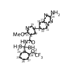 BC(B)(NC(=O)c1cc(-c2ccn3nc(N)nc3c2)cnc1OC)c1ccccc1OC(F)(F)F